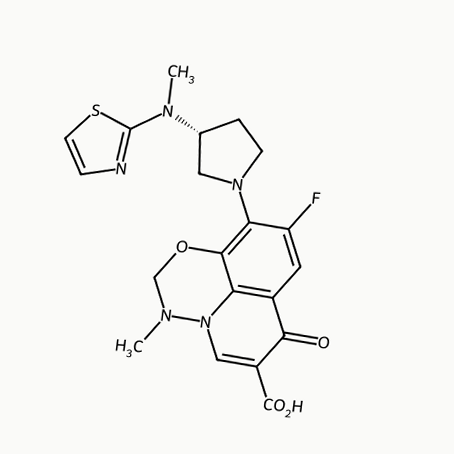 CN(c1nccs1)[C@@H]1CCN(c2c(F)cc3c(=O)c(C(=O)O)cn4c3c2OCN4C)C1